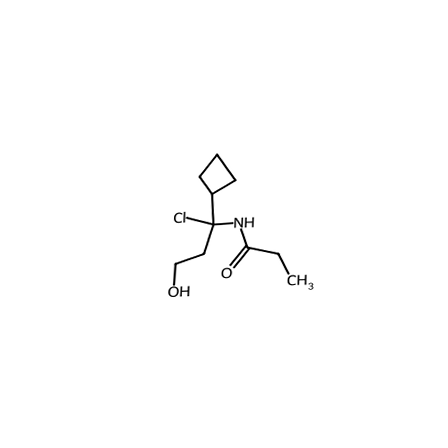 CCC(=O)NC(Cl)(CCO)C1CCC1